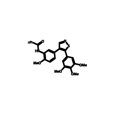 CCCC(=O)Nc1cc(-c2cnsc2-c2cc(OC)c(OC)c(OC)c2)ccc1OC